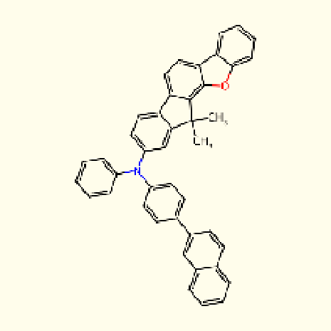 CC1(C)c2cc(N(c3ccccc3)c3ccc(-c4ccc5ccccc5c4)cc3)ccc2-c2ccc3c(oc4ccccc43)c21